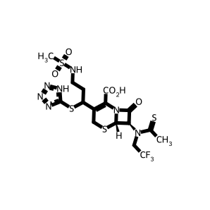 CC(=S)N(CC(F)(F)F)[C@@H]1C(=O)N2C(C(=O)O)=C(C(CCNS(C)(=O)=O)Sc3nnn[nH]3)CS[C@@H]12